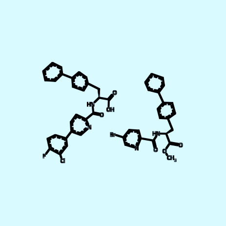 COC(=O)[C@H](Cc1ccc(-c2ccccc2)cc1)NC(=O)c1ccc(Br)cn1.O=C(N[C@@H](Cc1ccc(-c2ccccc2)cc1)C(=O)O)c1ccc(-c2ccc(F)c(Cl)c2)cn1